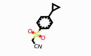 N#CCS(=O)(=O)c1ccc(C2CC2)cc1